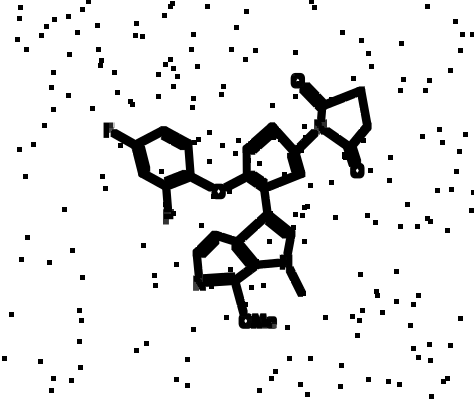 COc1nccc2c(-c3cc(N4C(=O)CCC4=O)ccc3Oc3ccc(F)cc3F)cn(C)c12